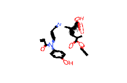 C=C(C=C(C)C(=O)O)C(=O)OCC.C=CC(=O)N(C=CC#N)c1ccc(O)cc1